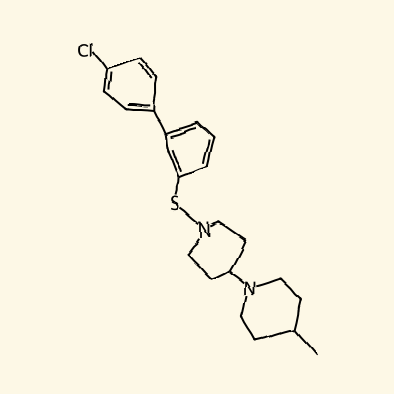 CC1CCN(C2CCN(Sc3cccc(-c4ccc(Cl)cc4)c3)CC2)CC1